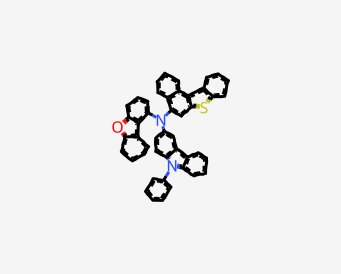 c1ccc(-n2c3ccccc3c3cc(N(c4cc5sc6ccccc6c5c5ccccc45)c4cccc5oc6ccccc6c45)ccc32)cc1